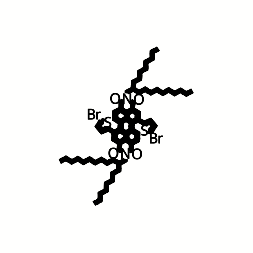 CCCCCCCCCCC(CCCCCCCC)CN1C(=O)c2ccc3c4c(-c5ccc(Br)s5)cc5c6c(ccc(c7c(-c8ccc(Br)s8)cc(c2c37)C1=O)c64)C(=O)N(CC(CCCCCCCC)CCCCCCCCCC)C5=O